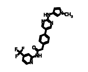 Cn1ccc(Nc2ncc(-c3ccc(CC(=O)Nc4cc(C(F)(F)F)ccn4)cc3)cn2)c1